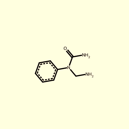 NCN(C(N)=O)c1ccccc1